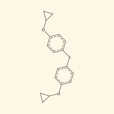 c1cc(Sc2ccc(OC3CC3)cc2)ccc1OC1CC1